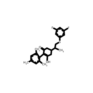 Cc1cc(C)c(C2=C(O)CC(C(C)CSc3cc(F)cc(F)c3)CC2=O)c(C)c1